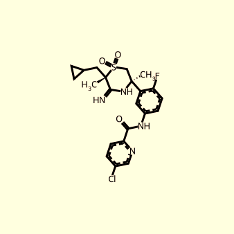 C[C@]1(CC2CC2)C(=N)N[C@](C)(c2cc(NC(=O)c3ccc(Cl)cn3)ccc2F)CS1(=O)=O